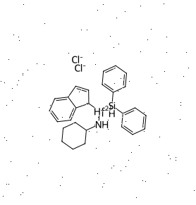 C1=C[CH]([Hf+2]([NH]C2CCCCC2)[SiH](c2ccccc2)c2ccccc2)c2ccccc21.[Cl-].[Cl-]